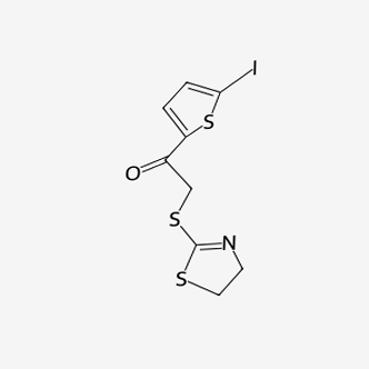 O=C(CSC1=NCCS1)c1ccc(I)s1